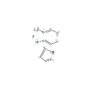 C[n+]1ccccc1Cl.[I-].c1cc[nH]c1